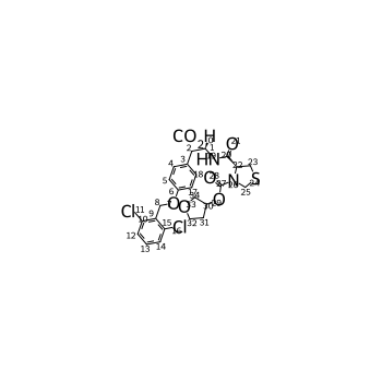 O=C(O)[C@H](Cc1ccc(OCc2c(Cl)cccc2Cl)cc1)NC(=O)[C@H]1CSCN1C(=O)OC1CCOC1